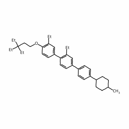 CCc1cc(-c2ccc(-c3ccc(C4CCC(C)CC4)cc3)cc2CC)ccc1OCCC(CC)(CC)CC